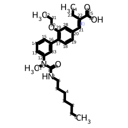 CCCCCCCNC(=O)N(C)c1cccc(-c2ccc(/C=C(\CC)C(=O)O)cc2OCC)c1